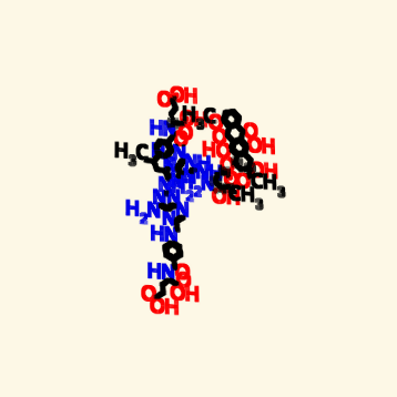 CCC(Cc1cnc2nc(=N)[nH]c(N)c2n1)c1ccc(C(=O)N[C@@H](CCC(=O)O)C(=O)O)cc1.COc1cccc2c1C(=O)c1c(O)c3c(c(O)c1C2=O)C[C@@](O)(C(C)=O)C[C@@H]3O[C@H]1C[C@H](N)[C@H](O)[C@H](C)O1.Nc1nc(N)c2nc(CNc3ccc(C(=O)NC(CCC(=O)O)C(=O)O)cc3)cnc2n1